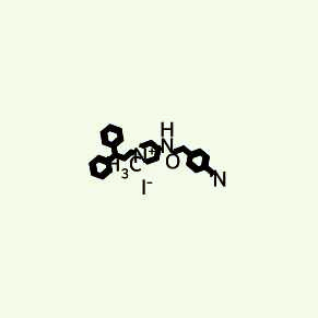 C[N+]1(CCC(c2ccccc2)c2ccccc2)CCC(NC(=O)Cc2ccc(C#N)cc2)CC1.[I-]